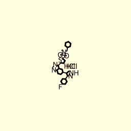 CN(Cc1ccccc1)S(=O)(=O)c1ccc(-c2ncnc3ccc(-c4c[nH]nc4-c4ccc(F)cc4)cc23)s1.Cl.Cl